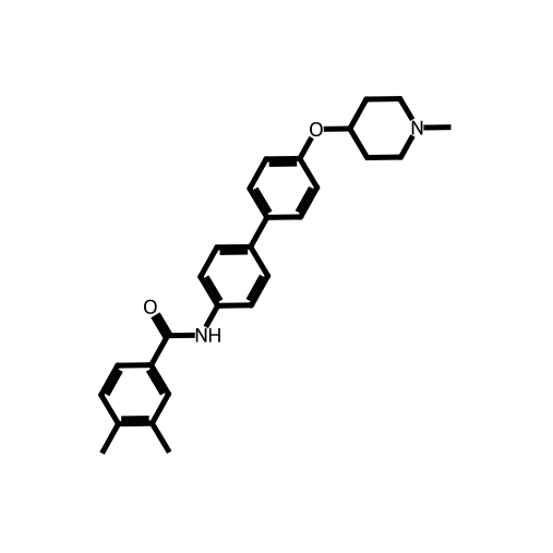 Cc1ccc(C(=O)Nc2ccc(-c3ccc(OC4CCN(C)CC4)cc3)cc2)cc1C